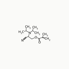 C=C(C)C(=O)OCC(C#N)N(C(C)C)C(C)C